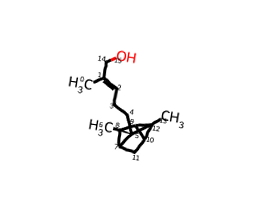 C/C(=C\CC[C@@]1(C)C2CC3C(C2)C31C)CO